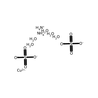 O.O.O.O.O.O=S(=O)([O-])[O-].O=S(=O)([O-])[O-].[Cu+2].[NH4+].[NH4+]